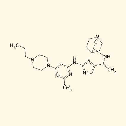 C=C(NC1CN2CCC1CC2)c1cnc(Nc2cc(N3CCN(CCC)CC3)nc(C)n2)s1